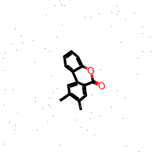 Cc1cc2c(=O)oc3ccccc3c2cc1C